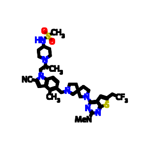 CNc1nc(N2CCC3(CCN(Cc4ccc5c(cc(C#N)n5C[C@H](C)N5CCC(NS(C)(=O)=O)CC5)c4C)C3)C2)c2cc(CC(F)(F)F)sc2n1